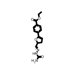 CCOC(=O)c1ccc(C2=CCC(/C=N/NC(N)=O)O2)cc1